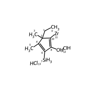 CCC1(C)C(C)=C([SiH3])C(O)=[C]1[Zr].Cl.Cl